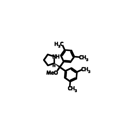 COC(c1cc(C)cc(C)c1)(c1cc(C)cc(C)c1)[C@@H]1CCCN1